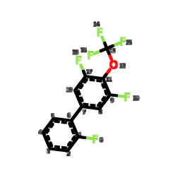 Fc1ccccc1-c1cc(F)c(OC(F)(F)F)c(F)c1